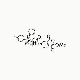 COc1oc(=O)c2cc(NC(=O)C(NS(=O)(=O)c3ccc(C)cc3)c3ccccc3)ccc2c1Cl